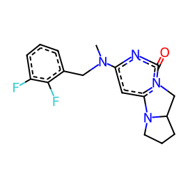 CN(Cc1cccc(F)c1F)c1cc2n(c(=O)n1)CC1CCCN21